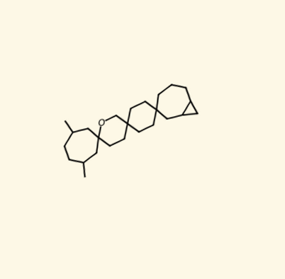 CC1CCC(C)CC2(CCC3(CCC4(CCCC5CC5C4)CC3)CO2)C1